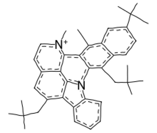 Cc1c2cc(C(C)(C)C)ccc2c(CC(C)(C)C)c2c1c1c3c(cc[n+]1C)cc(CC(C)(C)C)c1c4ccccc4n2c13